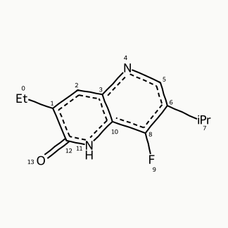 CCc1cc2ncc(C(C)C)c(F)c2[nH]c1=O